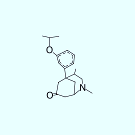 CC(C)Oc1cccc(C23CC(=O)CC(C2)N(C)CC3C)c1